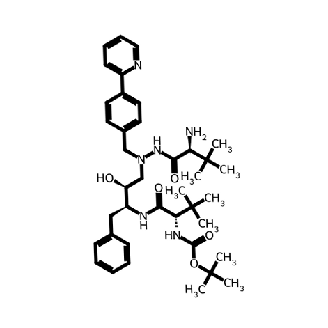 CC(C)(C)OC(=O)N[C@H](C(=O)N[C@@H](Cc1ccccc1)[C@@H](O)CN(Cc1ccc(-c2ccccn2)cc1)NC(=O)[C@@H](N)C(C)(C)C)C(C)(C)C